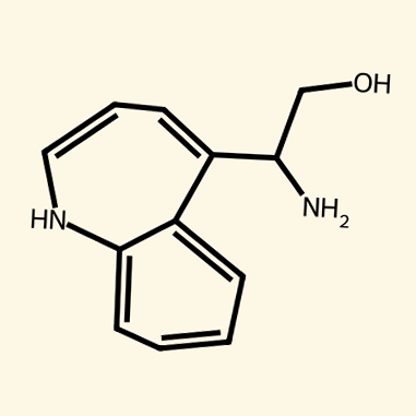 NC(CO)C1=CC=CNc2ccccc21